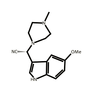 COc1ccc2[nH]cc([C@H](C#N)N3CCN(C)CC3)c2c1